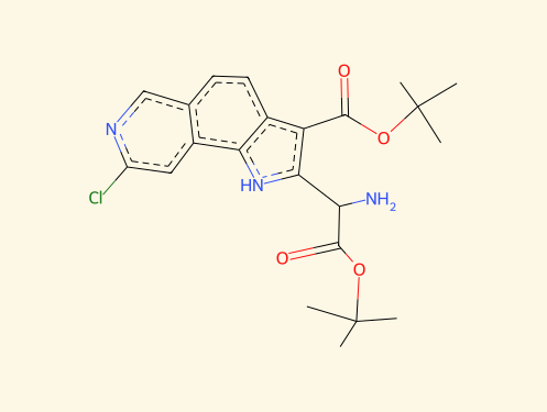 CC(C)(C)OC(=O)c1c(C(N)C(=O)OC(C)(C)C)[nH]c2c1ccc1cnc(Cl)cc12